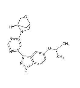 CC(C)Oc1ccc2[nH]nc(-c3cc(N4CC5C[C@H]4CO5)ncn3)c2c1